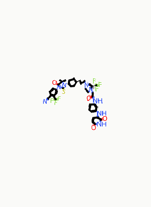 CC1(C)C(=O)N(c2ccc(C#N)c(C(F)(F)F)c2)C(=S)N1[C@H]1CC[C@H](CCCN2CCN(CC(=O)Nc3cccc(NC4CCC(=O)NC4=O)c3)[C@@H](C(F)(F)F)C2)CC1